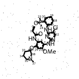 C=CC(=O)Nc1cc(Nc2ncc(Cl)c(Nc3ccccc3P(C)(C)=O)n2)c(OC)cc1O[C@@H]1CCCN(C)C1